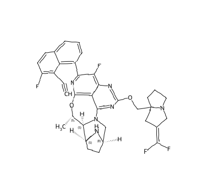 C#Cc1c(F)ccc2cccc(-c3nc4c5c(nc(OCC67CCCN6CC(=C(F)F)C7)nc5c3F)N3C[C@H]5CC[C@H](N5)[C@H]3[C@H](C)O4)c12